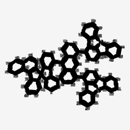 c1ccc2c(c1)-c1c(-c3c4cccc(-c5ccc6c7ccccc7n7c8ccccc8c5c67)c4cc4c(-c5ccc6c7ccccc7n7c8ccccc8c5c67)cccc34)cccc1C21c2ccccc2-c2c1ccc1ccccc21